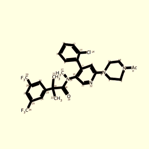 CC(=O)N1CCN(c2cc(-c3ccccc3Cl)c(N(C)C(=O)C(C)(C)c3cc(C(F)(F)F)cc(C(F)(F)F)c3)cn2)CC1